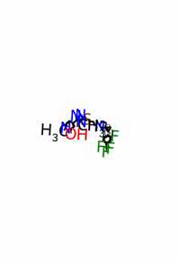 CN1C=CC(c2nnc(SCCCN3CC[C@]4(C[C@@H]4c4ccc(C(F)(F)F)cc4F)C3)n2C)=CC1O